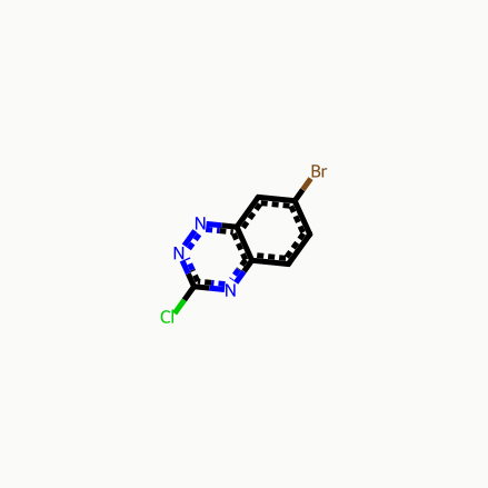 Clc1nnc2cc(Br)ccc2n1